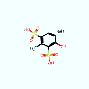 Cc1c(S(=O)(=O)O)ccc(O)c1S(=O)(=O)O.[NaH]